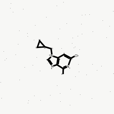 Cc1nc(Cl)cc2c1ncn2CC1CC1